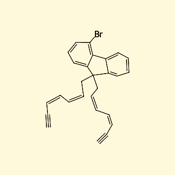 C#C/C=C\C=C/CC1(C/C=C\C=C/C#C)c2ccccc2-c2c(Br)cccc21